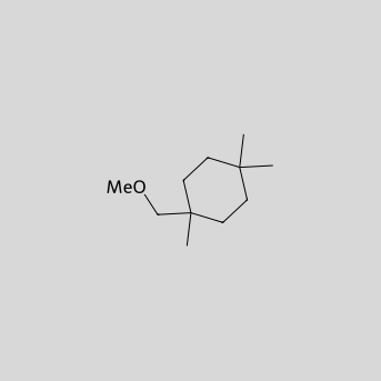 COCC1(C)CCC(C)(C)CC1